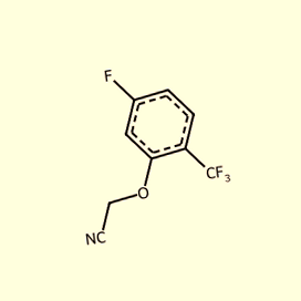 N#CCOc1cc(F)ccc1C(F)(F)F